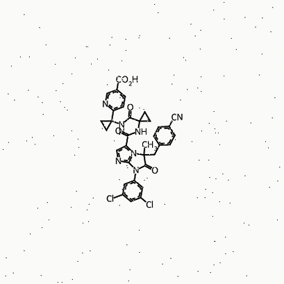 CC1(Cc2ccc(C#N)cc2)C(=O)N(c2cc(Cl)cc(Cl)c2)c2ncc(C(=O)NC3(C(=O)NC4(c5ccc(C(=O)O)cn5)CC4)CC3)n21